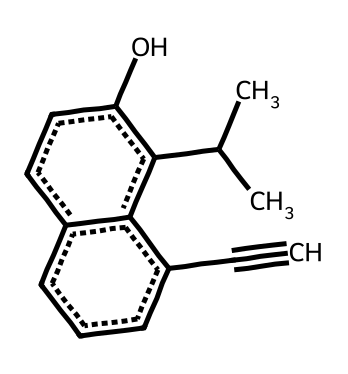 C#Cc1cccc2ccc(O)c(C(C)C)c12